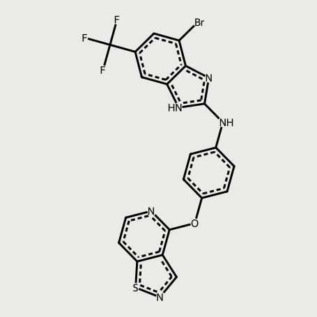 FC(F)(F)c1cc(Br)c2nc(Nc3ccc(Oc4nccc5sncc45)cc3)[nH]c2c1